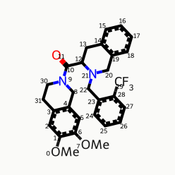 COc1cc2c(cc1OC)CN(C(=O)C1Cc3ccccc3CN1Cc1ccccc1C(F)(F)F)CC2